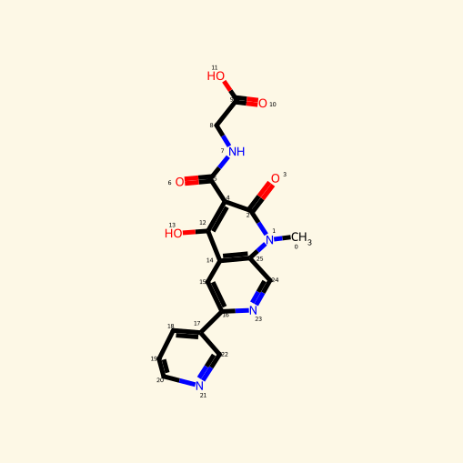 Cn1c(=O)c(C(=O)NCC(=O)O)c(O)c2cc(-c3cccnc3)ncc21